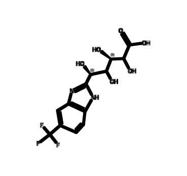 O=C(O)C(O)[C@H](O)C(O)[C@H](O)c1nc2cc(C(F)(F)F)ccc2[nH]1